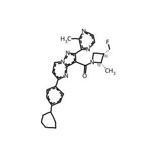 Cc1nccnc1-c1nn2ccc(-c3ccc(C4CCCCC4)cc3)nc2c1C(=O)N1C[C@H](CF)[C@@H]1C